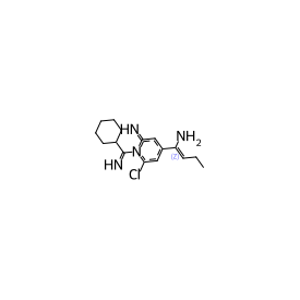 CC/C=C(\N)c1cc(Cl)n(C(=N)C2CCCCC2)c(=N)c1